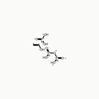 C=CO.O=[PH](O)O.O=[PH](O)O[PH](=O)O